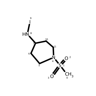 CS(=O)(=O)N1CCC(NI)CC1